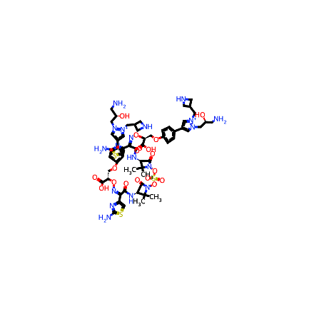 CC1(C)[C@H](NC(=O)/C(=N\O[C@@H](COc2ccc(-c3cn(C[C@@H](O)CN)[n+](CC4CNC4)c3)cc2)C(=O)O)c2csc(N)n2)C(=O)N1OS(=O)(=O)ON1C(=O)[C@@H](NC(=O)/C(=N\O[C@@H](COc2ccc(-c3cn(C[C@@H](O)CN)[n+](CC4CNC4)c3)cc2)C(=O)O)c2csc(N)n2)C1(C)C